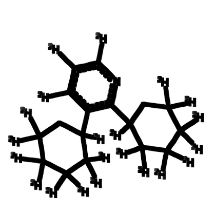 [2H]c1nc(C2([2H])CC([2H])([2H])C([2H])([2H])C([2H])([2H])C2([2H])[2H])c(C2([2H])CC([2H])([2H])C([2H])([2H])C([2H])([2H])C2([2H])[2H])c([2H])c1[2H]